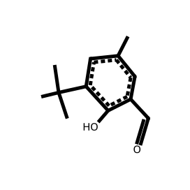 Cc1cc(C=O)c(O)c(C(C)(C)C)c1